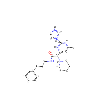 Cc1cc(C(C(=O)NCCCc2ccccc2)N2CCCCC2)nc(-n2ccnc2)n1